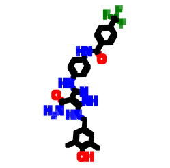 Cc1cc(CNc2[nH]nc(Nc3ccc(NC(=O)c4ccc(C(F)(F)F)cc4)cc3)c2C(N)=O)cc(C)c1O